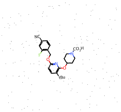 CC(C)(C)c1ccc(OCc2ccc(C#N)cc2F)nc1OC1CCN(C(=O)O)CC1